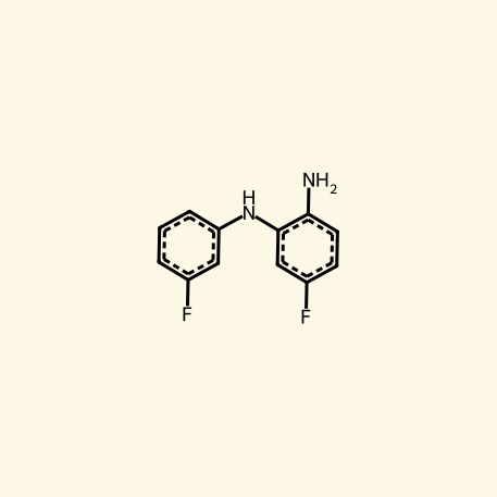 Nc1ccc(F)cc1Nc1cccc(F)c1